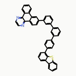 c1cc(-c2ccc(-c3cccc4c3sc3ccccc34)cc2)cc(-c2cccc(-c3ccc4c(c3)c3ccccc3c3nccnc43)c2)c1